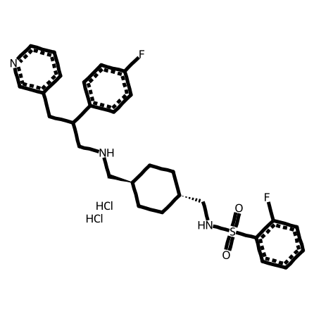 Cl.Cl.O=S(=O)(NC[C@H]1CC[C@H](CNCC(Cc2cccnc2)c2ccc(F)cc2)CC1)c1ccccc1F